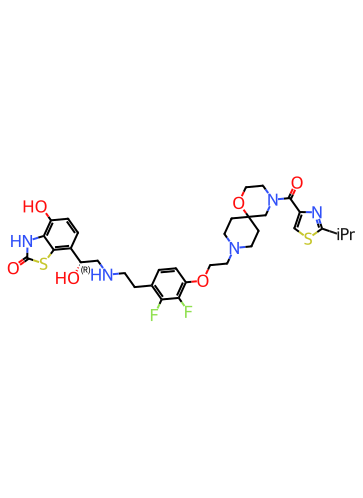 CC(C)c1nc(C(=O)N2CCOC3(CCN(CCOc4ccc(CCNC[C@H](O)c5ccc(O)c6[nH]c(=O)sc56)c(F)c4F)CC3)C2)cs1